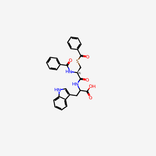 O=C(N[C@@H](CSC(=O)c1ccccc1)C(=O)NC(Cc1c[nH]c2ccccc12)C(=O)O)c1ccccc1